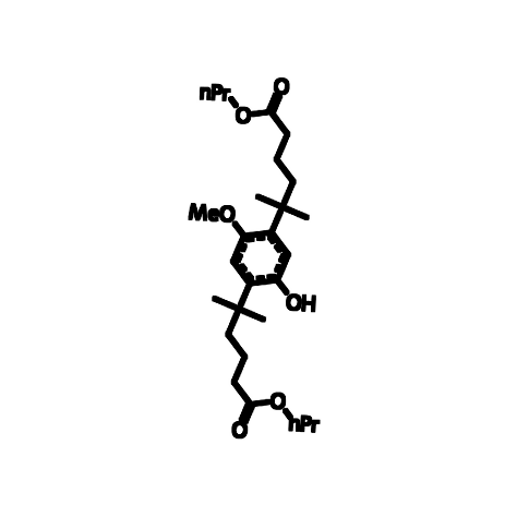 CCCOC(=O)CCCC(C)(C)c1cc(OC)c(C(C)(C)CCCC(=O)OCCC)cc1O